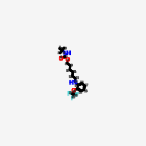 CC(C)(C)NC(=O)OCCCCCCNc1ccccc1OC(F)(F)F